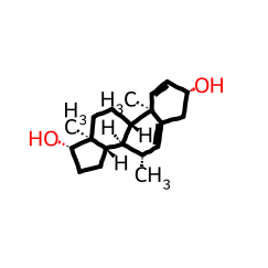 C[C@H]1C=C2C[C@@H](O)C=C[C@]2(C)[C@H]2CC[C@]3(C)[C@@H](O)CC[C@H]3[C@H]12